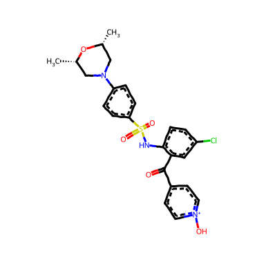 C[C@@H]1CN(c2ccc(S(=O)(=O)Nc3ccc(Cl)cc3C(=O)c3cc[n+](O)cc3)cc2)C[C@H](C)O1